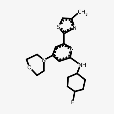 Cc1csc(-c2cc(N3CCOCC3)cc(NC3CCC(F)CC3)n2)n1